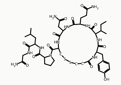 CCC(C)C1NC(=O)C(Cc2ccc(O)cc2)NC(=O)CCSSCC(C(=O)N2CCCC2C(=O)NC(CC(C)C)C(=O)NCC(N)=O)NC(=O)C(CC(N)=O)NC(=O)C(CCC(N)=O)NC1=O